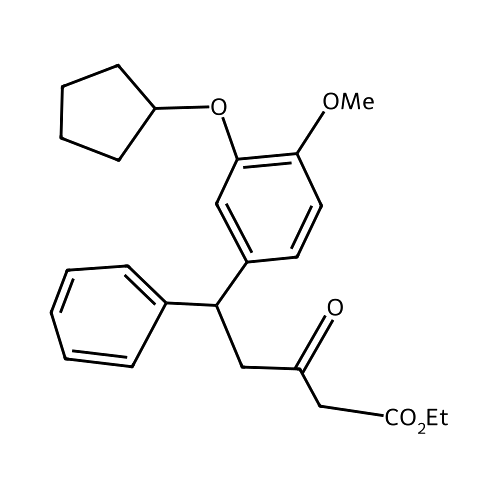 CCOC(=O)CC(=O)CC(c1ccccc1)c1ccc(OC)c(OC2CCCC2)c1